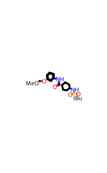 COCOc1cccc(NC(=O)[C@H]2CC[C@H](NS(=O)(=O)C(C)(C)C)CC2)c1